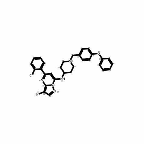 Clc1ccccc1-c1cc(NC2CCN(Cc3ccc(Oc4ccccc4)cc3)CC2)n2ncc(Br)c2n1